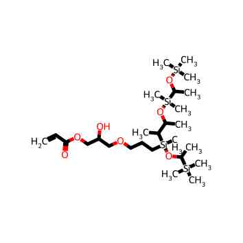 C=CC(=O)OCC(O)COCCC[Si](C)(OC(C)[Si](C)(C)C)C(C)C(C)O[Si](C)(C)C(C)O[Si](C)(C)C